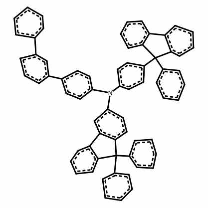 c1ccc(-c2cccc(-c3ccc(N(c4ccc(C5(c6ccccc6)c6ccccc6-c6ccccc65)cc4)c4ccc5c(c4)-c4ccccc4C5(c4ccccc4)c4ccccc4)cc3)c2)cc1